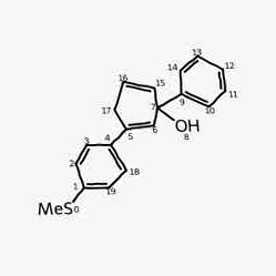 CSc1ccc(C2=CC(O)(c3ccccc3)C=CC2)cc1